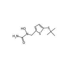 CC(C)(C)Sc1ccc(CN(O)C(N)=O)s1